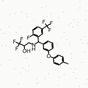 Cc1ccc(Oc2cccc(C(NCC(O)C(F)(F)F)c3cc(C(F)(F)F)ccc3F)c2)cc1